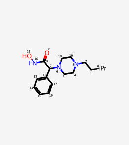 CC(C)CCN1CCN(C(C(=O)NO)c2ccccc2)CC1